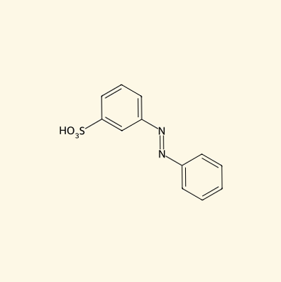 O=S(=O)(O)c1cccc(N=Nc2ccccc2)c1